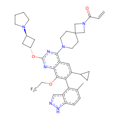 C=CC(=O)N1CC2(CCN(c3nc(O[C@H]4C[C@H](N5CCCC5)C4)nc4c(OCC(F)(F)F)c(-c5c(C)ccc6[nH]ncc56)c(C5CC5)cc34)CC2)C1